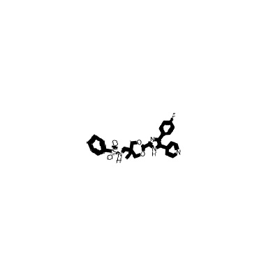 CC1(CNS(=O)(=O)c2ccccc2)COC(c2nc(-c3ccc(F)cc3)c(-c3ccncc3)[nH]2)OC1